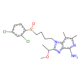 COC(C)c1nc2c(N)nc(C)c(C)c2n1CCCC[S+]([O-])c1ccc(Cl)cc1Cl